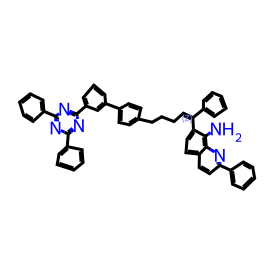 Nc1c(/C(=C\CCCc2ccc(-c3cccc(-c4nc(-c5ccccc5)nc(-c5ccccc5)n4)c3)cc2)c2ccccc2)ccc2ccc(-c3ccccc3)nc12